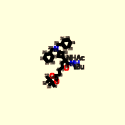 CC(=O)N[C@](CCCCB1OC(C)(C)C(C)(C)O1)(C(=O)NC(C)(C)C)C1CC(N(Cc2ccccc2)Cc2ccccc2)C1